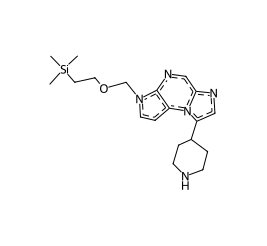 C[Si](C)(C)CCOCn1ccc2c1ncc1ncc(C3CCNCC3)n12